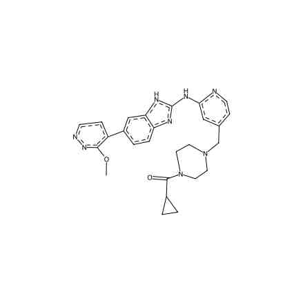 COc1nnccc1-c1ccc2nc(Nc3cc(CN4CCN(C(=O)C5CC5)CC4)ccn3)[nH]c2c1